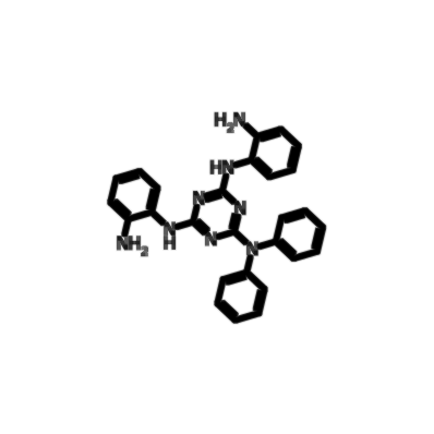 Nc1ccccc1Nc1nc(Nc2ccccc2N)nc(N(c2ccccc2)c2ccccc2)n1